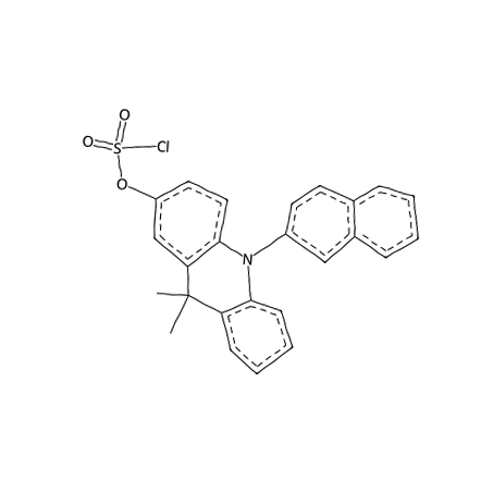 CC1(C)c2ccccc2N(c2ccc3ccccc3c2)c2ccc(OS(=O)(=O)Cl)cc21